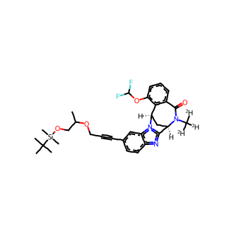 [2H]C([2H])([2H])N1C(=O)c2cccc(OC(F)F)c2[C@H]2C[C@@H]1c1nc3ccc(C#CCOC(C)CO[Si](C)(C)C(C)(C)C)cc3n12